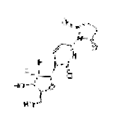 O=C1CCC(=O)N1c1ccn(C2OC(CO)C(O)C2(F)F)c(=O)n1